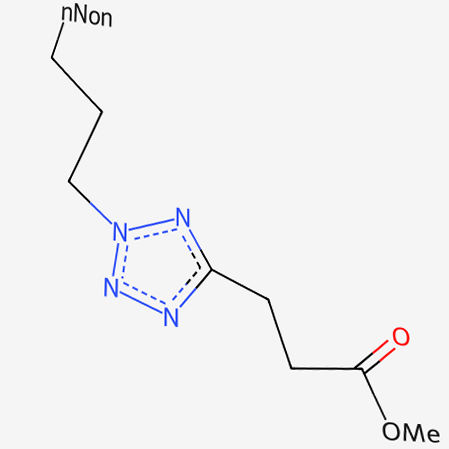 CCCCCCCCCCCCn1nnc(CCC(=O)OC)n1